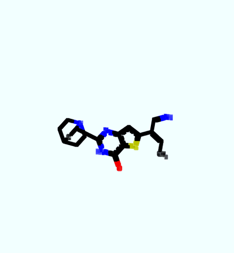 C/C=C(/C=N)c1cc2nc(C3CC4CCN3CC4)[nH]c(=O)c2s1